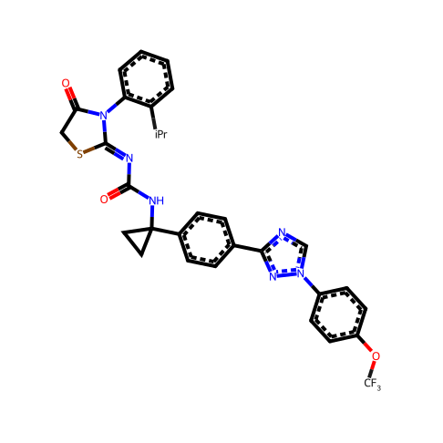 CC(C)c1ccccc1N1C(=O)CS/C1=N\C(=O)NC1(c2ccc(-c3ncn(-c4ccc(OC(F)(F)F)cc4)n3)cc2)CC1